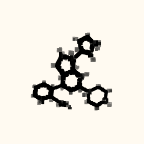 Nc1ncccc1-c1cc(N2CCOCC2)nc2c1cnn2-c1cc[nH]n1